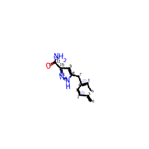 C=C/C=C\C(=C/C)Cc1cc(C(N)=O)n[nH]1